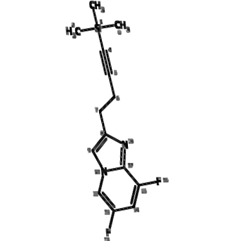 C[Si](C)(C)C#CCCc1cn2cc(F)cc(F)c2n1